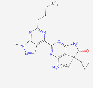 CCOC(=O)C1(C2CC2)C(=O)Nc2nc(-c3nc(CCCC(F)(F)F)nc4c3cnn4C)nc(N)c21